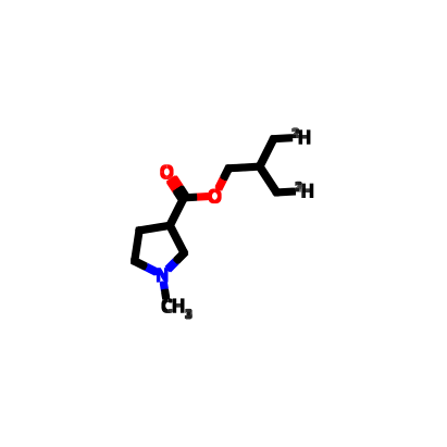 [2H]CC(C[2H])COC(=O)C1CCN(C)C1